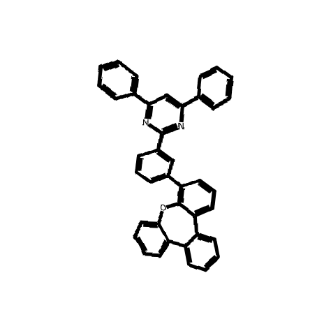 c1ccc(-c2cc(-c3ccccc3)nc(-c3cccc(-c4cccc5c4Oc4ccccc4-c4ccccc4-5)c3)n2)cc1